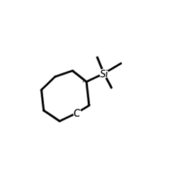 C[Si](C)(C)[C]1CCCCCCC1